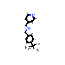 CC(C)(C)c1[c]cc(CNCc2ccncc2)cc1